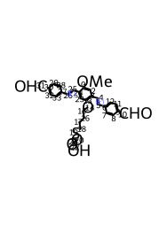 COc1cc(/C=C/c2ccc(C=O)cc2)c(OCCCCSOOO)cc1/C=C/c1ccc(C=O)cc1